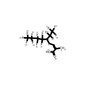 CC(=CCC(C(F)(F)C(F)(F)F)C(F)(F)C(F)(F)C(F)(F)C(F)(F)F)C(=O)O